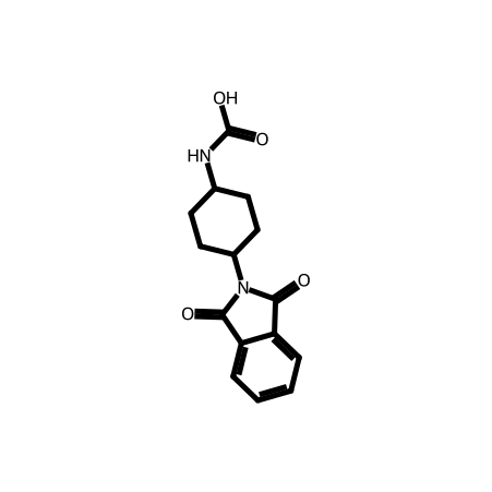 O=C(O)NC1CCC(N2C(=O)c3ccccc3C2=O)CC1